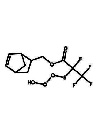 O=C(OCC1CC2C=CC1C2)C(F)(SOOO)C(F)(F)F